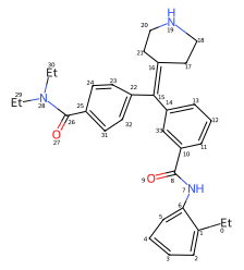 CCc1ccccc1NC(=O)c1cccc(C(=C2CCNCC2)c2ccc(C(=O)N(CC)CC)cc2)c1